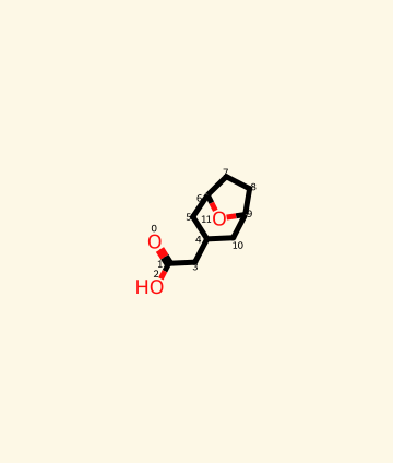 O=C(O)CC1CC2CCC(C1)O2